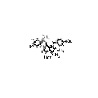 Cc1c(C)n(Cc2ccc(C(C)(C)C)cc2)c2c(CN(C)c3ccc(F)cc3)nccc12.Cl